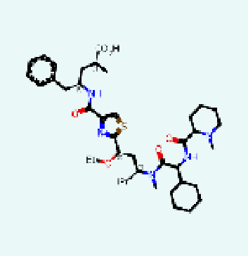 CCO[C@H](C[C@H](C(C)C)N(C)C(=O)C(NC(=O)C1CCCCN1C)C1CCCCC1)c1nc(C(=O)N[C@@H](Cc2ccccc2)C[C@H](C)C(=O)O)cs1